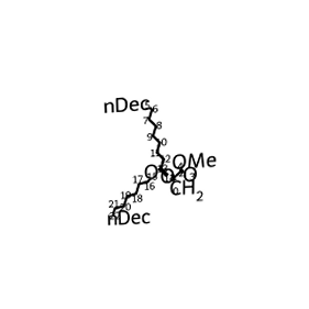 C=CC(=O)OC.CCCCCCCCCCCCCCCCCC(=O)OCCCCCCCCCCCCCCCC